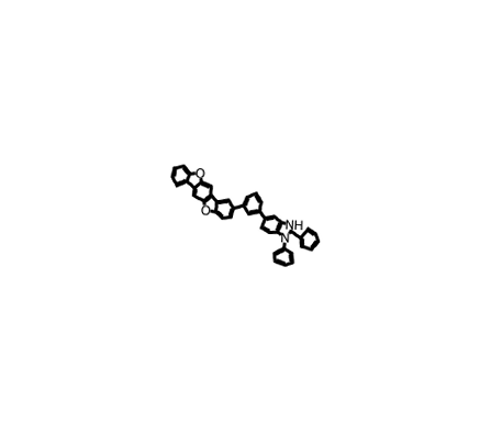 c1ccc(C2Nc3cc(-c4cccc(-c5ccc6oc7cc8c(cc7c6c5)oc5ccccc58)c4)ccc3N2c2ccccc2)cc1